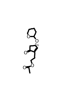 CC(=O)OCCC1=C[C@@H](OC2CCCCO2)CC1=O